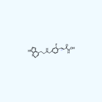 O=C(/C=C/c1ccc(CNCCc2ccnc3[nH]ccc23)cc1F)NO